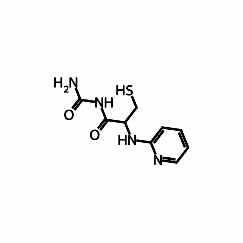 NC(=O)NC(=O)C(CS)Nc1ccccn1